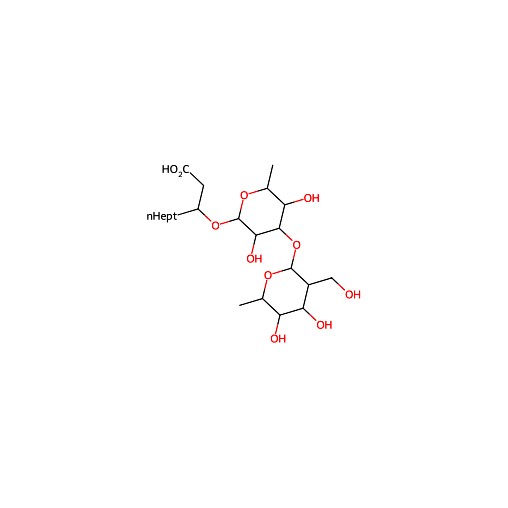 CCCCCCCC(CC(=O)O)OC1OC(C)C(O)C(OC2OC(C)C(O)C(O)C2CO)C1O